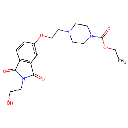 CCOC(=O)N1CCN(CCOc2ccc3c(c2)C(=O)N(CCO)C3=O)CC1